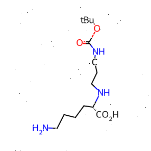 CC(C)(C)OC(=O)NCCCN[C@@H](CCCCN)C(=O)O